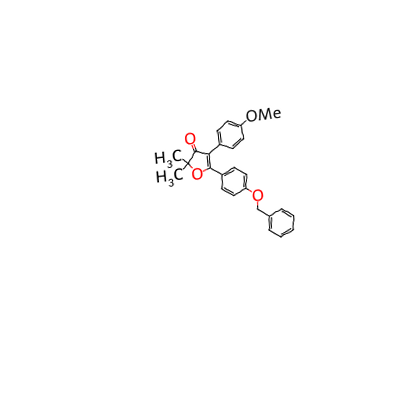 COc1ccc(C2=C(c3ccc(OCc4ccccc4)cc3)OC(C)(C)C2=O)cc1